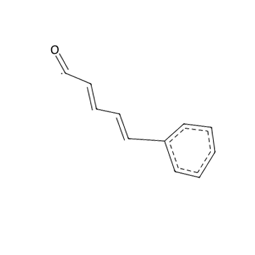 O=[C]C=C/C=C/c1ccccc1